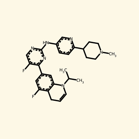 CC(C)N1C=CCc2c(F)cc(-c3nc(Nc4ccc(C5CCN(C)CC5)nc4)ncc3F)cc21